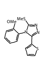 COc1ccccc1-n1c(SC)nnc1-c1cccs1